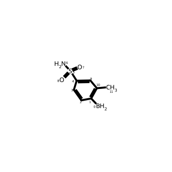 Bc1ccc(S(N)(=O)=O)cc1C